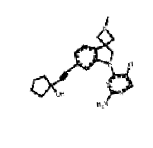 CN1CC2(C1)CN(c1nc(N)ncc1Cl)c1cc(C#CC3(O)CCCC3)ccc12